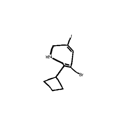 BrC1=C(C2CCC2)NCC(I)=C1